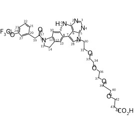 Nc1ncnc2c1c(-c1ccc3c(c1)CCN3C(=O)Cc1cccc(OC(F)(F)F)c1)cn2CCOCCOCCOCCOCCC(=O)O